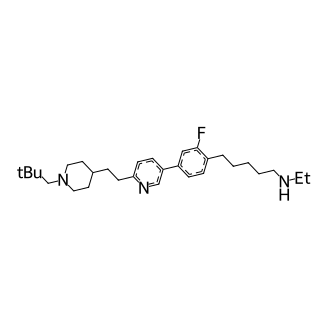 CCNCCCCCc1ccc(-c2ccc(CCC3CCN(CC(C)(C)C)CC3)nc2)cc1F